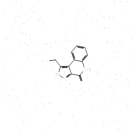 CCc1[nH]nc2c(=O)[nH]c3ccccc3c12